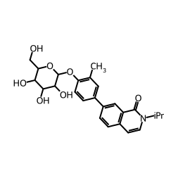 Cc1cc(-c2ccc3ccn(C(C)C)c(=O)c3c2)ccc1OC1OC(CO)C(O)C(O)C1O